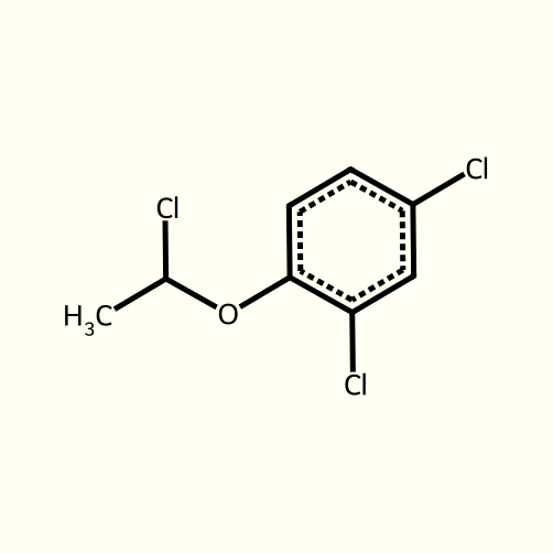 CC(Cl)Oc1ccc(Cl)cc1Cl